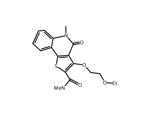 CCOCCOc1c(C(=O)NC)sc2c1c(=O)n(C)c1ccccc21